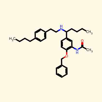 CCCCc1ccc(CCNC(CCCC)c2ccc(OCc3ccccc3)c(NC(C)=O)c2)cc1